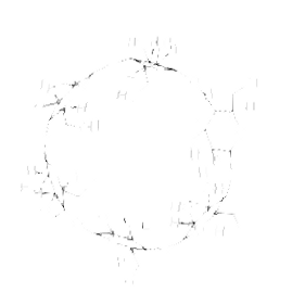 OC[C@H]1OC2O[C@@H]3[C@H](O)[C@H](O)C(OC4[C@@H](CO)OC(OC5[C@@H](CO)OC(O[C@@H]6[C@H](O)[C@H](O)C(OC7[C@@H](CO)OC(OC1[C@H](O)[C@@H]2O)[C@H](O)[C@H]7O)O[C@@H]6CO)[C@@H](O)[C@H]5O)[C@H](O)[C@H]4O)O[C@@H]3CO